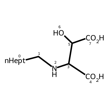 CCCCCCCCNC(C(=O)O)C(O)C(=O)O